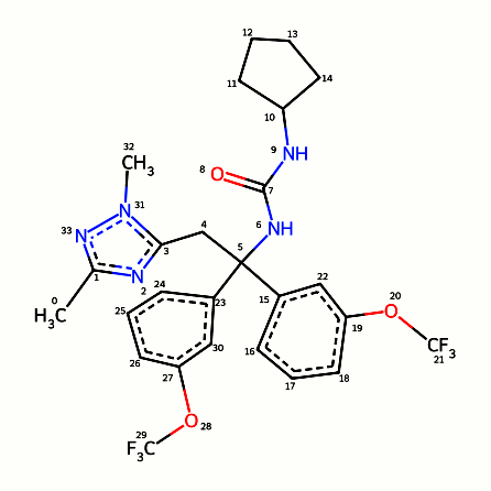 Cc1nc(CC(NC(=O)NC2CCCC2)(c2cccc(OC(F)(F)F)c2)c2cccc(OC(F)(F)F)c2)n(C)n1